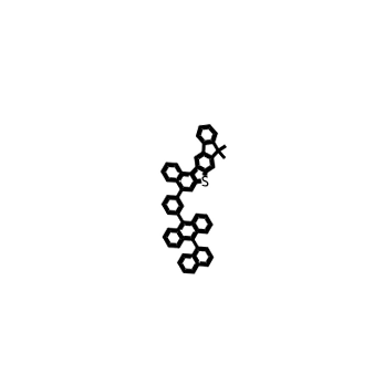 CC1(C)c2ccccc2-c2cc3c(cc21)sc1cc(-c2cccc(-c4c5ccccc5c(-c5cccc6ccccc56)c5ccccc45)c2)c2ccccc2c13